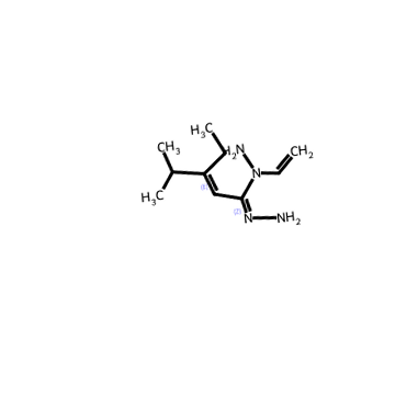 C=CN(N)C(/C=C(\CC)C(C)C)=N\N